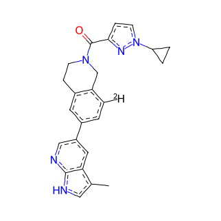 [2H]c1cc(-c2cnc3[nH]cc(C)c3c2)cc2c1CN(C(=O)c1ccn(C3CC3)n1)CC2